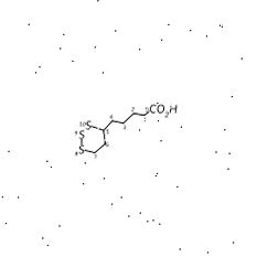 O=C(O)CCCCC1CCSSS1